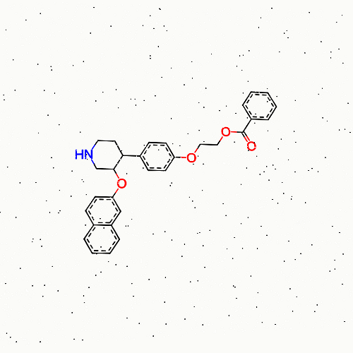 O=C(OCCOc1ccc(C2CCNCC2Oc2ccc3ccccc3c2)cc1)c1ccccc1